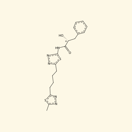 Cc1nnc(CCCCc2nnc(NC(=O)[C@H](O)Cc3ccccc3)s2)s1